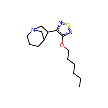 CCCCCCOc1nsnc1C1CN2CCCC1C2